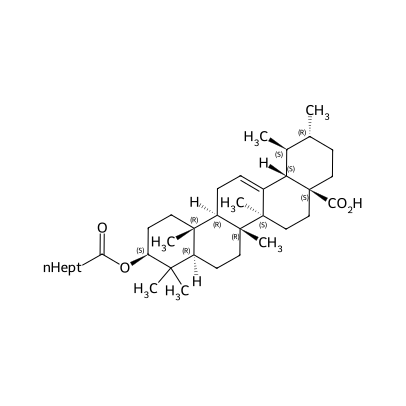 CCCCCCCC(=O)O[C@H]1CC[C@]2(C)[C@H]3CC=C4[C@@H]5[C@@H](C)[C@H](C)CC[C@]5(C(=O)O)CC[C@@]4(C)[C@]3(C)CC[C@H]2C1(C)C